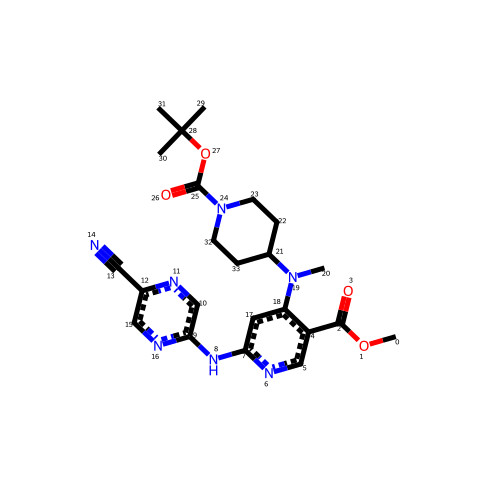 COC(=O)c1cnc(Nc2cnc(C#N)cn2)cc1N(C)C1CCN(C(=O)OC(C)(C)C)CC1